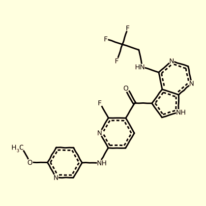 COc1ccc(Nc2ccc(C(=O)c3c[nH]c4ncnc(NCC(F)(F)F)c34)c(F)n2)cn1